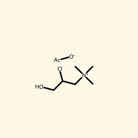 CC(=O)[O-].C[N+](C)(C)CC(Cl)CO